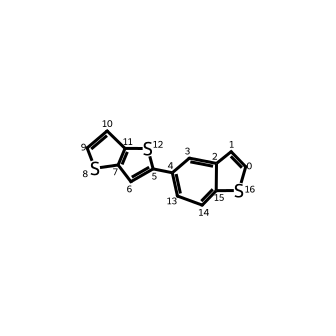 c1cc2cc(-c3cc4sccc4s3)ccc2s1